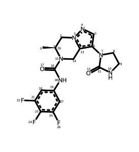 C[C@H]1Cn2ncc(N3CCNC3=O)c2CN1C(=O)Nc1cc(F)c(F)c(F)c1